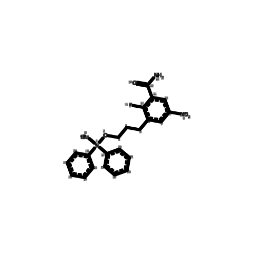 CC(C)(C)[Si](OCCCc1cc([N+](=O)[O-])cc(C(N)=O)c1F)(c1ccccc1)c1ccccc1